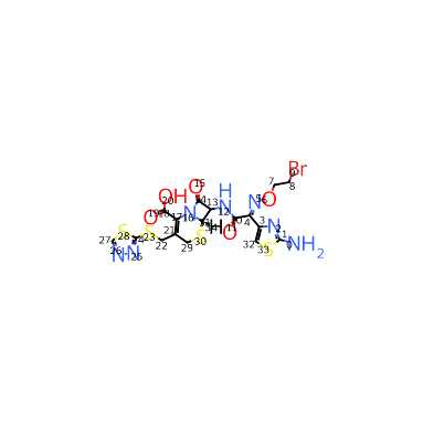 Nc1nc(C(=NOCCBr)C(=O)NC2C(=O)N3C(C(=O)O)=C(CSc4nncs4)CS[C@@H]23)cs1